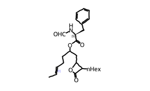 C/C=C/CCC(CC1OC(=O)C1CCCCCC)OC(=O)[C@H](Cc1ccccc1)NC=O